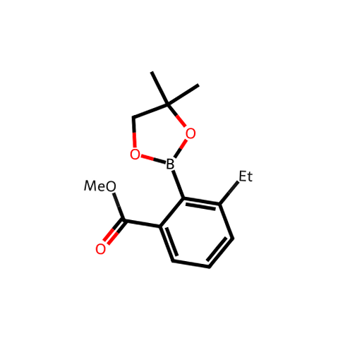 CCc1cccc(C(=O)OC)c1B1OCC(C)(C)O1